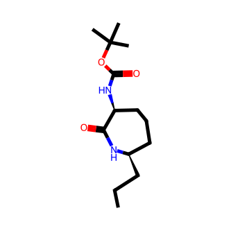 CCC[C@@H]1CCC[C@H](NC(=O)OC(C)(C)C)C(=O)N1